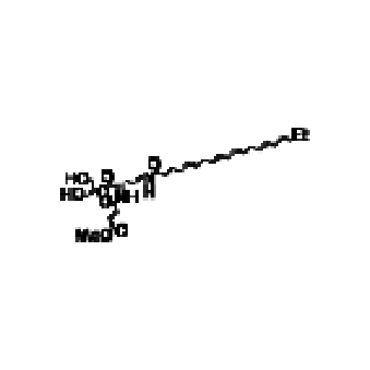 CCC=CCC=CCC=CCC=CCC=CCCCC(=O)NCCC[C@H](NC(=O)C=CC(=O)OC)C(=O)OC(CO)CO